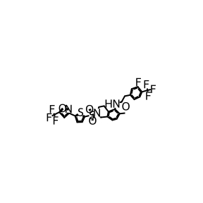 Cc1ccc2c(c1NC(=O)Cc1ccc(C(F)(F)F)c(F)c1)CCN(S(=O)(=O)c1ccc(-c3cc(C(F)(F)F)on3)s1)C2